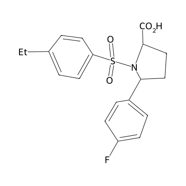 CCc1ccc(S(=O)(=O)N2C(C(=O)O)CCC2c2ccc(F)cc2)cc1